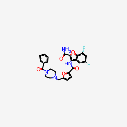 NC(=O)c1oc2c(F)cc(F)cc2c1NC(=O)c1ccc(CN2CCN(C(=O)c3ccccc3)CC2)o1